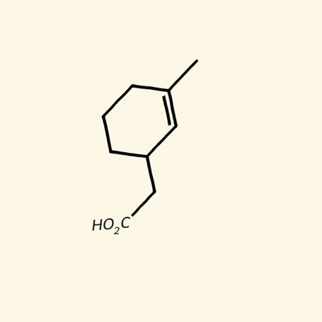 CC1=CC(CC(=O)O)CCC1